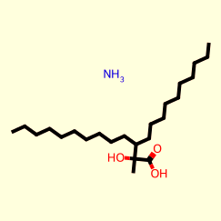 CCCCCCCCCCC(CCCCCCCCCC)C(C)(O)C(=O)O.N